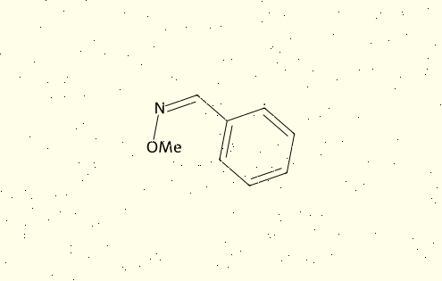 CO/N=C\c1[c]cccc1